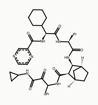 CCCC(NC(=O)[C@@H]1[C@@H]2CC[C@@H](C2)[C@@H]1NC(=O)[C@@H](NC(=O)[C@@H](NC(=O)c1cnccn1)C1CCCCC1)C(C)C)C(=O)C(=O)NC1CC1